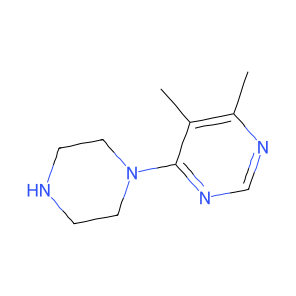 Cc1ncnc(N2CCNCC2)c1C